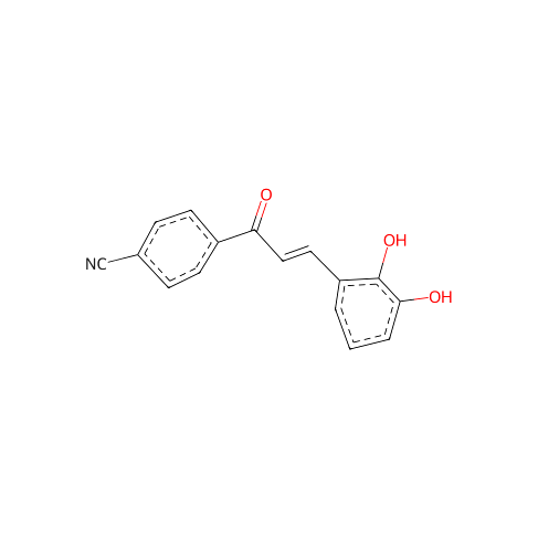 N#Cc1ccc(C(=O)C=Cc2cccc(O)c2O)cc1